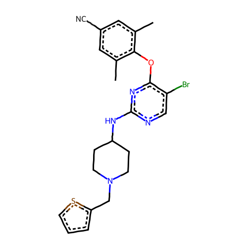 Cc1cc(C#N)cc(C)c1Oc1nc(NC2CCN(Cc3cccs3)CC2)ncc1Br